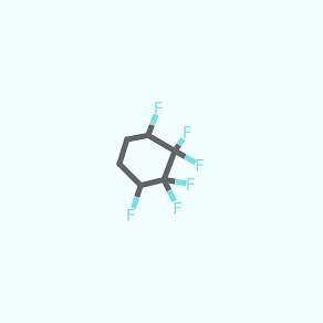 F[C]1CCC(F)C(F)(F)C1(F)F